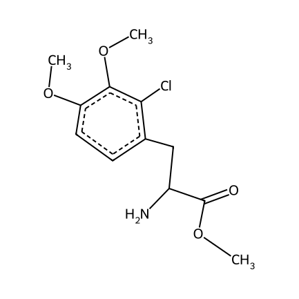 COC(=O)C(N)Cc1ccc(OC)c(OC)c1Cl